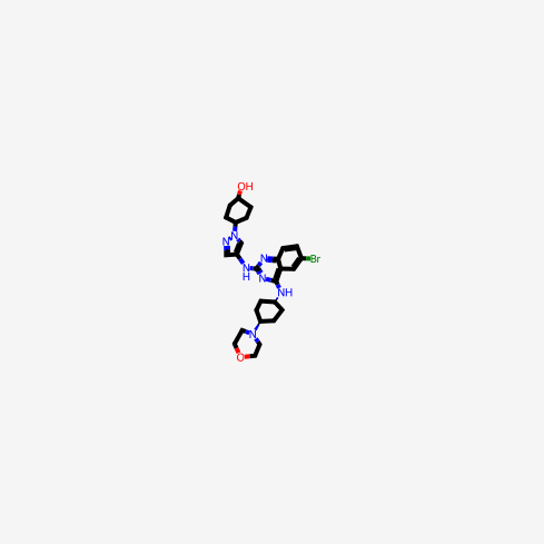 OC1CCC(n2cc(Nc3nc(N[C@H]4CC[C@H](N5CCOCC5)CC4)c4cc(Br)ccc4n3)cn2)CC1